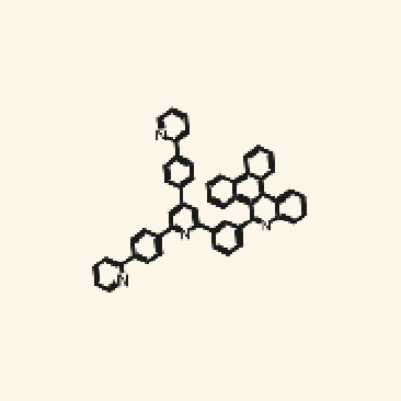 c1ccc(-c2ccc(-c3cc(-c4ccc(-c5ccccn5)cc4)nc(-c4cccc(-c5nc6ccccc6c6c7ccccc7c7ccccc7c56)c4)c3)cc2)nc1